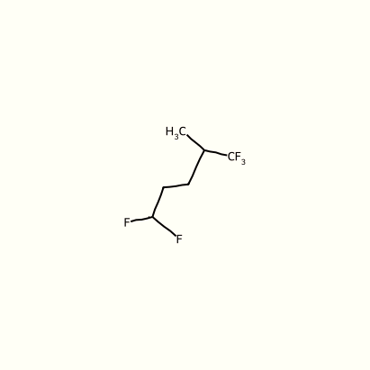 CC(CC[C](F)F)C(F)(F)F